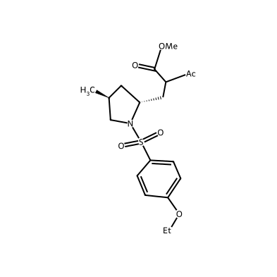 CCOc1ccc(S(=O)(=O)N2C[C@@H](C)C[C@@H]2CC(C(C)=O)C(=O)OC)cc1